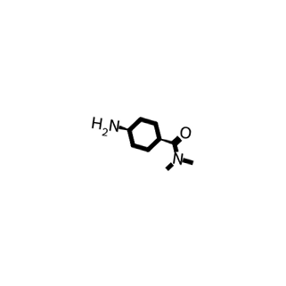 CN(C)C(=O)[C@H]1CC[C@@H](N)CC1